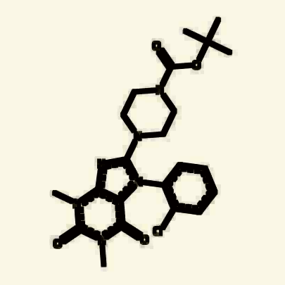 Cn1c(=O)c2c(nc(N3CCN(C(=O)OC(C)(C)C)CC3)n2-c2ccccc2Cl)n(C)c1=O